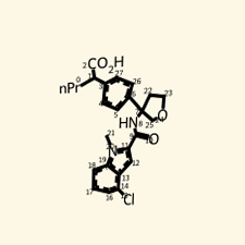 CCCC(C(=O)O)c1ccc(C2(NC(=O)c3cc4c(Cl)cccc4n3C)CCOC2)cc1